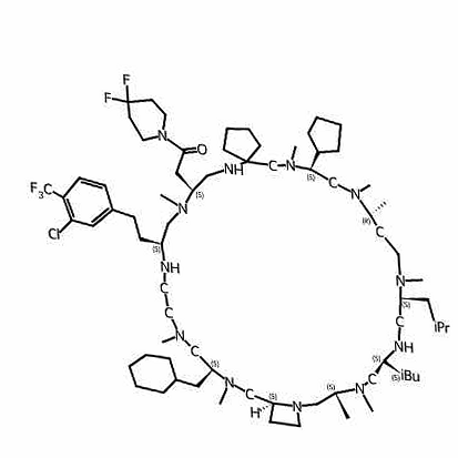 CC[C@H](C)[C@H]1CN(C)[C@@H](C)CN2CC[C@H]2CN(C)[C@@H](CC2CCCCC2)CN(C)CCN[C@@H](CCc2ccc(C(F)(F)F)c(Cl)c2)CN(C)[C@@H](CC(=O)N2CCC(F)(F)CC2)CNC2(CCCC2)CN(C)[C@@H](C2CCCC2)CN(C)[C@H](C)CCN(C)[C@@H](CC(C)C)CN1